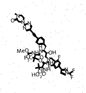 COC(=O)N[C@H](C(=O)N[C@@H](Cc1ccc(C#Cc2cnc(N3CCN(C)C(=O)C3)nc2)cc1)[C@@H](O)CN(Cc1c(F)cc(-c2ccn(C(F)F)n2)cc1F)NC(=O)[C@@H](NC(=O)O)C(C)(C)C(F)(F)F)C(C)(C)C(F)(F)F